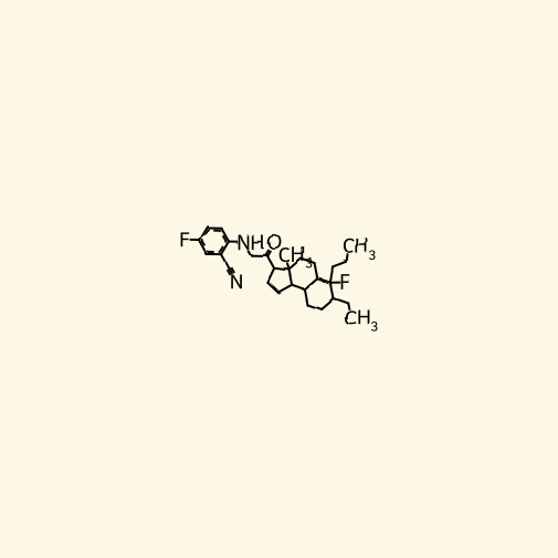 CCCC1(F)C(CC)CCC2C3CCC(C(=O)CNc4ccc(F)cc4C#N)C3(C)CCC21